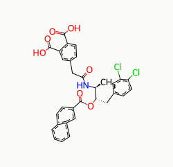 C[C@H](NC(=O)Cc1ccc(C(=O)O)c(C(=O)O)c1)[C@H](Cc1ccc(Cl)c(Cl)c1)OC(=O)c1ccc2ccccc2c1